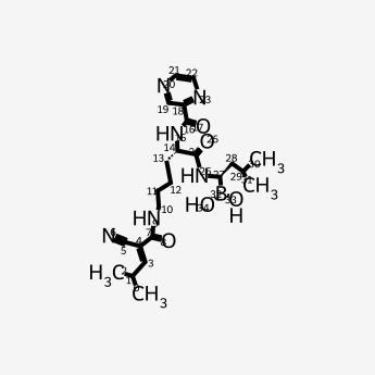 CC(C)C=C(C#N)C(=O)NCCCC[C@H](NC(=O)c1cnccn1)C(=O)N[C@@H](CC(C)C)B(O)O